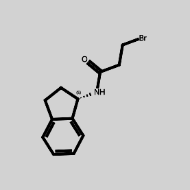 O=C(CCBr)N[C@H]1CCc2ccccc21